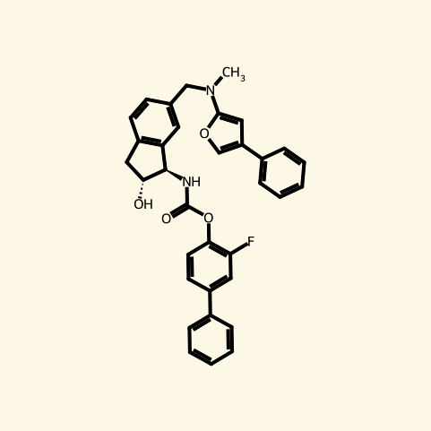 CN(Cc1ccc2c(c1)[C@@H](NC(=O)Oc1ccc(-c3ccccc3)cc1F)[C@H](O)C2)c1cc(-c2ccccc2)co1